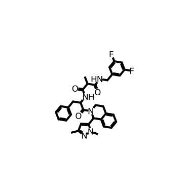 Cc1cc(C2c3ccccc3CCN2C(=O)C(Cc2ccccc2)NC(=O)C(C)C(=O)NCc2cc(F)cc(F)c2)n(C)n1